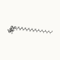 CCCCCCCCCCCCCCCCCCCCCCOC(=O)OP(C)(=O)OC